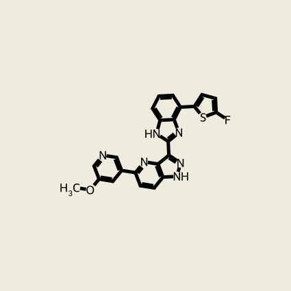 COc1cncc(-c2ccc3[nH]nc(-c4nc5c(-c6ccc(F)s6)cccc5[nH]4)c3n2)c1